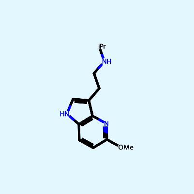 COc1ccc2[nH]cc(CCNC(C)C)c2n1